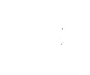 Cc1sc(-c2ccc(Br)cc2)nc1C1C(=O)[C@@H]2[C@H](C1=O)[C@H]1CC[C@@H]2O1